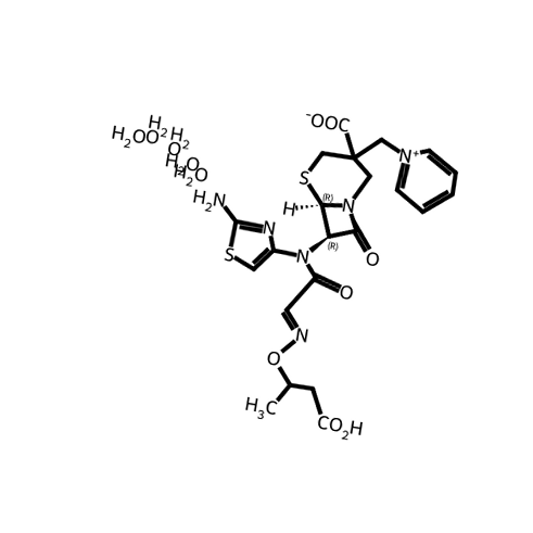 CC(CC(=O)O)ON=CC(=O)N(c1csc(N)n1)[C@@H]1C(=O)N2CC(C[n+]3ccccc3)(C(=O)[O-])CS[C@H]12.O.O.O.O.O